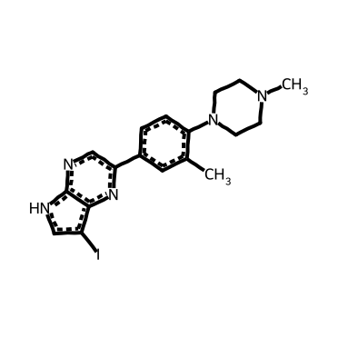 Cc1cc(-c2cnc3[nH]cc(I)c3n2)ccc1N1CCN(C)CC1